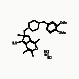 COc1ccc(CN2CCN(CC3(C)CC4=C(C)OC(C)=C(C)C4=C3N)CC2)cc1OC.Cl.Cl.Cl